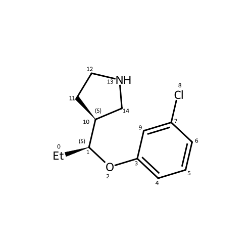 CC[C@H](Oc1cccc(Cl)c1)[C@H]1CCNC1